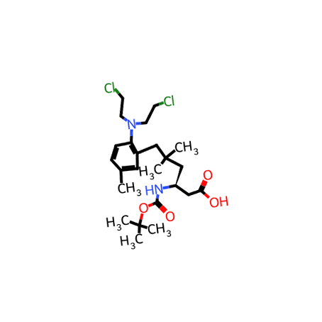 Cc1ccc(N(CCCl)CCCl)c(CC(C)(C)C[C@@H](CC(=O)O)NC(=O)OC(C)(C)C)c1